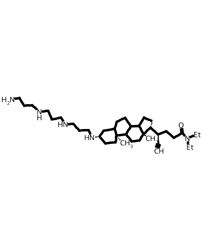 C#C[C@H](CCC(=O)N(CC)CC)[C@H]1CCC2C3CCC4C[C@@H](NCCCNCCCNCCCN)CC[C@]4(C)C3CC[C@@]21C